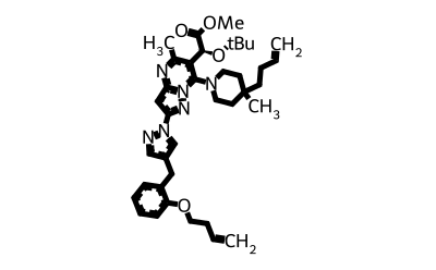 C=CCCOc1ccccc1Cc1cnn(-c2cc3nc(C)c([C@H](OC(C)(C)C)C(=O)OC)c(N4CCC(C)(CCC=C)CC4)n3n2)c1